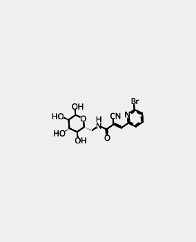 N#C/C(=C\c1cccc(Br)n1)C(=O)NC[C@H]1O[C@H](O)[C@H](O)[C@@H](O)[C@@H]1O